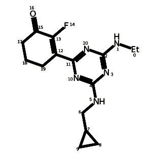 CCNc1nc(NCC2CC2)nc(C2=C(F)C(=O)CCC2)n1